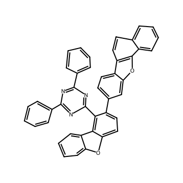 c1ccc(-c2nc(-c3ccccc3)nc(-c3c(-c4ccc5c(c4)oc4c6ccccc6ccc54)ccc4oc5ccccc5c34)n2)cc1